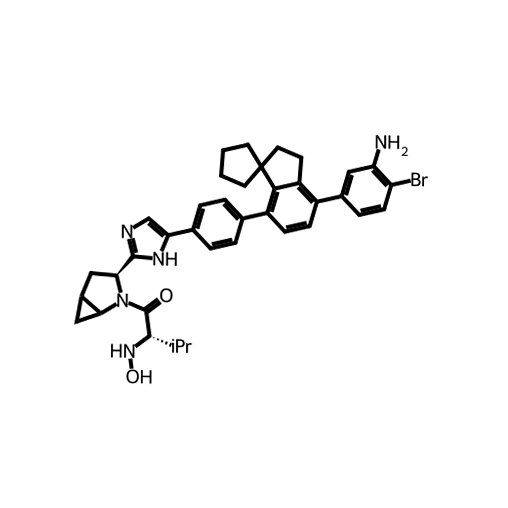 CC(C)[C@H](NO)C(=O)N1C2CC2C[C@H]1c1ncc(-c2ccc(-c3ccc(-c4ccc(Br)c(N)c4)c4c3C3(CCCC3)CC4)cc2)[nH]1